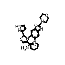 NC(=O)C1=CSC(c2cc[nH]n2)N1c1cc2oc(N3CCOCC3)nc2cc1N1CCCCC1